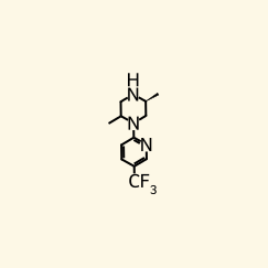 CC1CN[C@@H](C)CN1c1ccc(C(F)(F)F)cn1